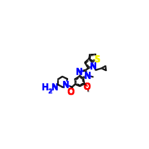 COc1cc(C(=O)N2CCC[C@H](N)C2)cc2nc(-c3cc4ccsc4n3CC3CC3)n(C)c12